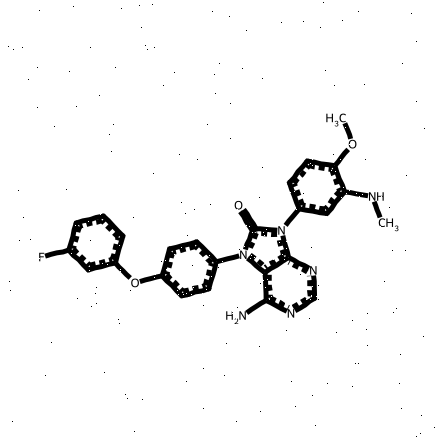 CNc1cc(-n2c(=O)n(-c3ccc(Oc4cccc(F)c4)cc3)c3c(N)ncnc32)ccc1OC